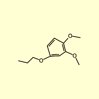 CCCOc1ccc(OC)c(OC)c1